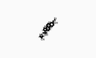 CCOC[C@@]1(O)CC[C@H]2[C@H](CC[C@@H]3[C@@H]2CC[C@]2(C)C(C(C)(O)Cn4cc(C#N)cn4)CC[C@@H]32)C1